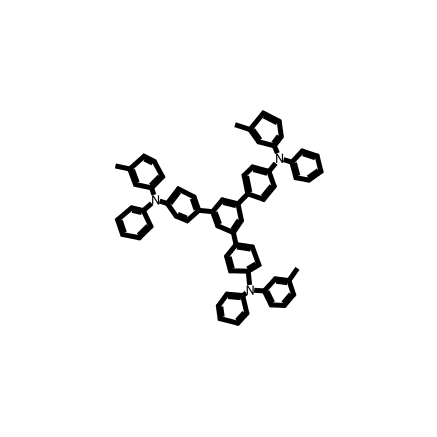 Cc1cccc(N(c2ccccc2)c2ccc(-c3cc(-c4ccc(N(c5ccccc5)c5cccc(C)c5)cc4)cc(-c4ccc(N(c5ccccc5)c5cccc(C)c5)cc4)c3)cc2)c1